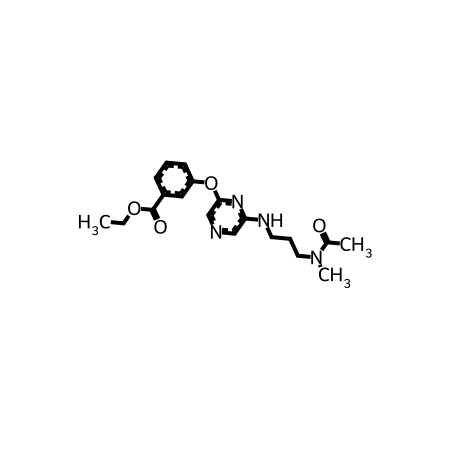 CCOC(=O)c1cccc(Oc2cncc(NCCCN(C)C(C)=O)n2)c1